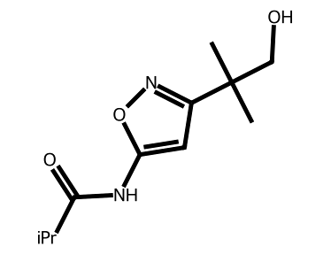 CC(C)C(=O)Nc1cc(C(C)(C)CO)no1